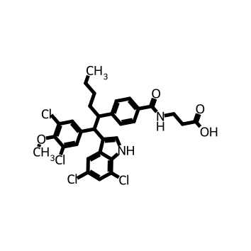 CCCCC(c1ccc(C(=O)NCCC(=O)O)cc1)C(c1cc(Cl)c(OC)c(Cl)c1)c1c[nH]c2c(Cl)cc(Cl)cc12